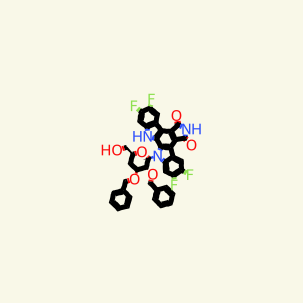 O=C1NC(=O)c2c1c1c3cc(F)c(F)cc3[nH]c1c1c2c2cc(F)c(F)cc2n1[C@@H]1O[C@H](CO)C[C@H](OCc2ccccc2)[C@H]1OCc1ccccc1